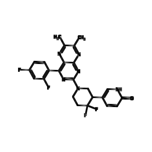 Cc1nc2nc(N3CCC(F)(F)C(c4ccc(=O)[nH]c4)C3)nc(-c3ccc(F)cc3F)c2nc1C